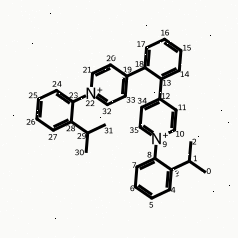 CC(C)c1ccccc1-[n+]1ccc(-c2ccccc2-c2cc[n+](-c3ccccc3C(C)C)cc2)cc1